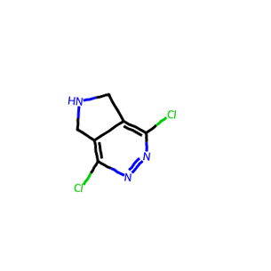 Clc1nnc(Cl)c2c1CNC2